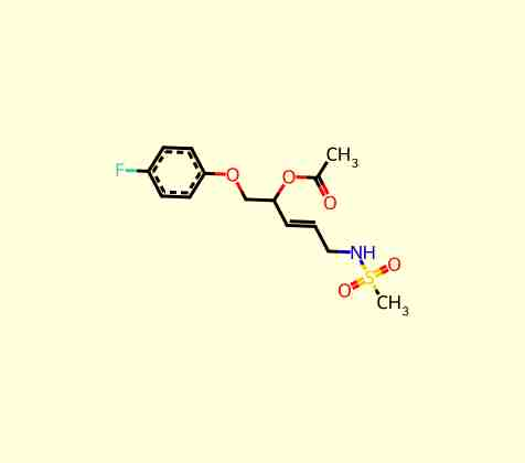 CC(=O)OC(C=CCNS(C)(=O)=O)COc1ccc(F)cc1